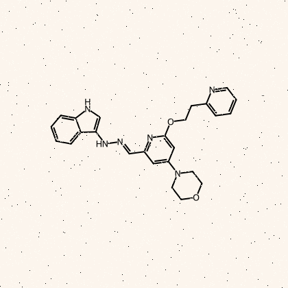 C(=N\Nc1c[nH]c2ccccc12)/c1cc(N2CCOCC2)cc(OCCc2ccccn2)n1